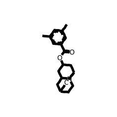 Cc1cc(C)cc(C(=O)OC2CC3CC4CCN3C(C4)C2)c1